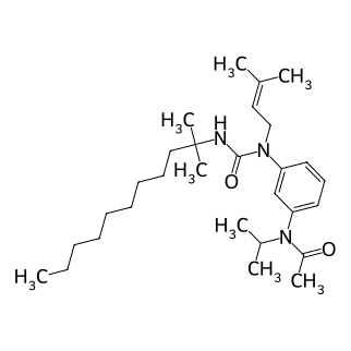 CCCCCCCCCC(C)(C)NC(=O)N(CC=C(C)C)c1cccc(N(C(C)=O)C(C)C)c1